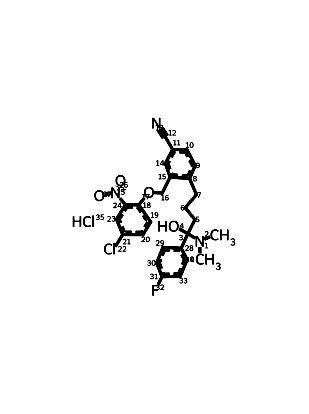 CN(C)C(O)(CCCc1ccc(C#N)cc1COc1ccc(Cl)cc1[N+](=O)[O-])c1ccc(F)cc1.Cl